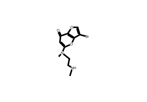 CNCCN(C)c1cc(=O)c2occ(Br)c2o1